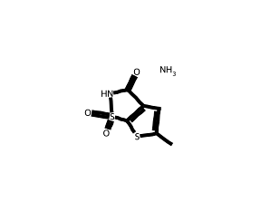 Cc1cc2c(s1)S(=O)(=O)NC2=O.N